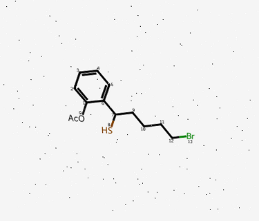 CC(=O)Oc1ccccc1C(S)CCCCBr